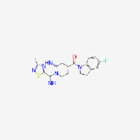 Cc1nsc(C(=N)N2CCC(C(=O)N3CCc4cc(F)ccc43)CC2=N)n1